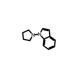 c1ccc2c(c1)ccn2N1CCCC1